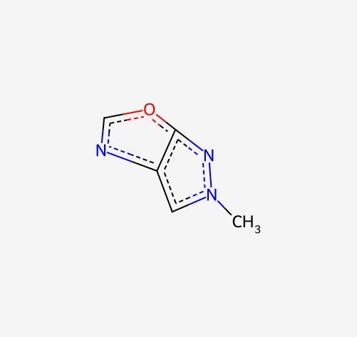 Cn1cc2ncoc2n1